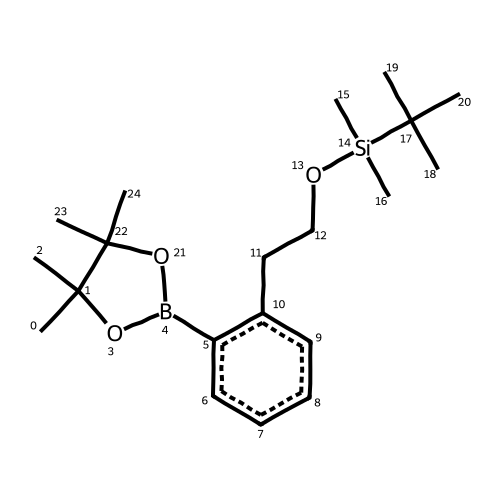 CC1(C)OB(c2ccccc2CCO[Si](C)(C)C(C)(C)C)OC1(C)C